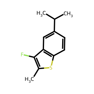 Cc1sc2ccc(C(C)C)cc2c1F